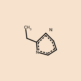 CCc1ccccn1.[N]